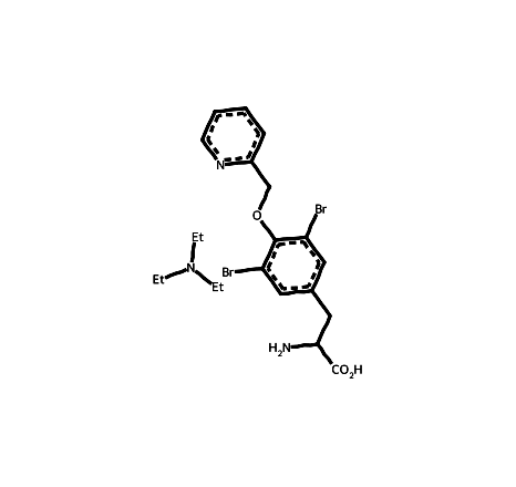 CCN(CC)CC.NC(Cc1cc(Br)c(OCc2ccccn2)c(Br)c1)C(=O)O